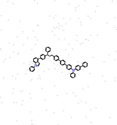 c1ccc(-c2ccc(N(c3ccccc3)c3ccc(-c4ccc(-c5ccc(CCC(c6ccccc6)c6ccc(-c7cccc8c7ccn8-c7ccccc7)cc6)cc5)cc4)cc3)cc2)cc1